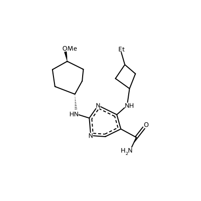 CCC1CC(Nc2nc(N[C@H]3CC[C@H](OC)CC3)ncc2C(N)=O)C1